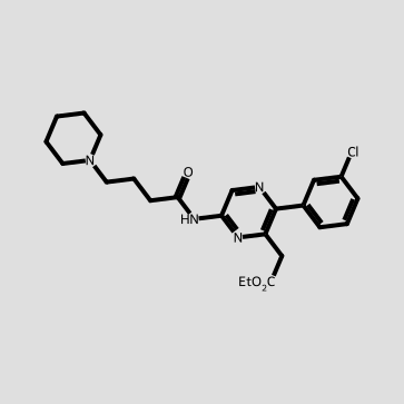 CCOC(=O)Cc1nc(NC(=O)CCCN2CCCCC2)cnc1-c1cccc(Cl)c1